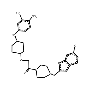 O=C(CO[C@H]1CC[C@H](Nc2ccc([N+](=O)[O-])c(C(F)(F)F)c2)CC1)N1CCN(Cc2cc3ccc(Cl)cc3o2)CC1